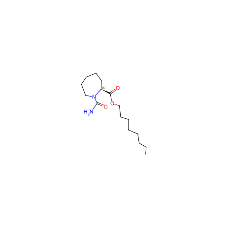 CCCCCCCCOC(=O)[C@@H]1CCCCCN1C(N)=O